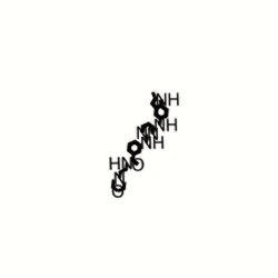 Cc1cc2cc(Nc3ccnc(Nc4cccc(C(=O)NCCN5CCOCC5)c4)n3)ccc2[nH]1